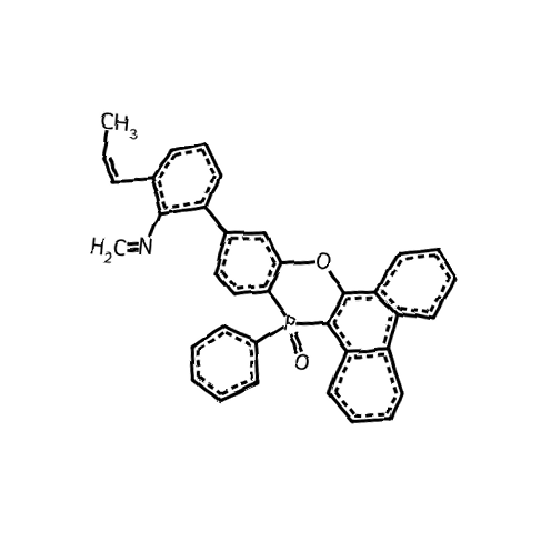 C=Nc1c(/C=C\C)cccc1-c1ccc2c(c1)Oc1c(c3ccccc3c3ccccc13)P2(=O)c1ccccc1